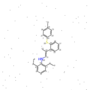 CCc1cccc(CC)c1N/C=C(\C)c1ccccc1Sc1ccc(C)cc1